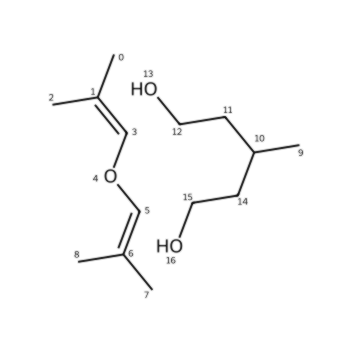 CC(C)=COC=C(C)C.CC(CCO)CCO